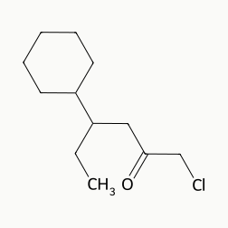 CCC(CC(=O)CCl)C1CCCCC1